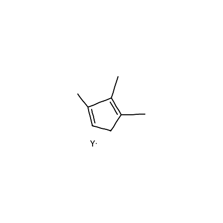 CC1=CCC(C)=C1C.[Y]